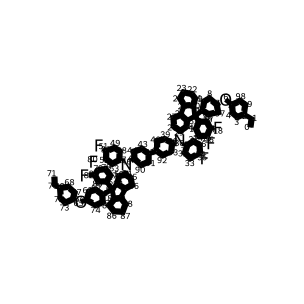 C=Cc1ccc(Oc2ccc(C3(c4ccc(F)c(F)c4)c4ccccc4-c4ccc(N(c5ccc(F)cc5)c5ccc(-c6ccc(N(c7ccc(F)cc7)c7ccc8c(c7)C(c7ccc(Oc9ccc(C=C)cc9)cc7)(c7ccc(F)c(F)c7)c7ccccc7-8)cc6)cc5)cc43)cc2)cc1